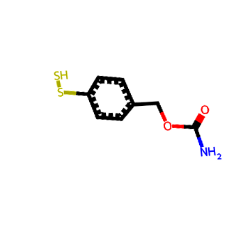 NC(=O)OCc1ccc(SS)cc1